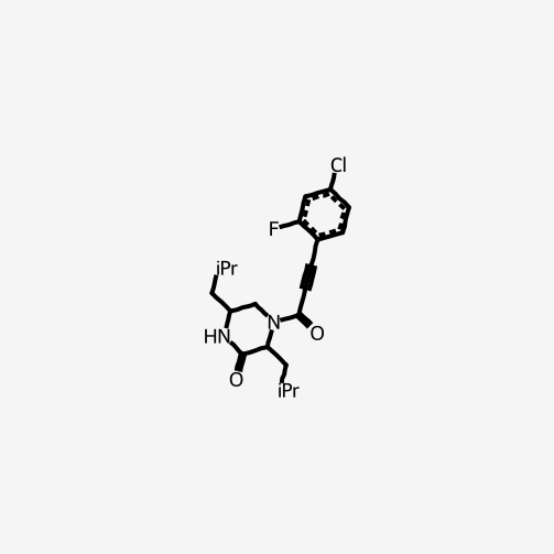 CC(C)CC1CN(C(=O)C#Cc2ccc(Cl)cc2F)C(CC(C)C)C(=O)N1